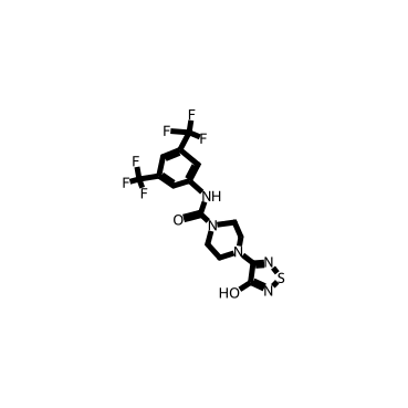 O=C(Nc1cc(C(F)(F)F)cc(C(F)(F)F)c1)N1CCN(c2nsnc2O)CC1